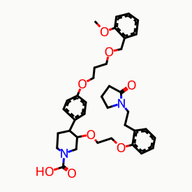 COc1ccccc1COCCCOc1ccc(C2CCN(C(=O)O)CC2OCCOc2ccccc2CCN2CCCC2=O)cc1